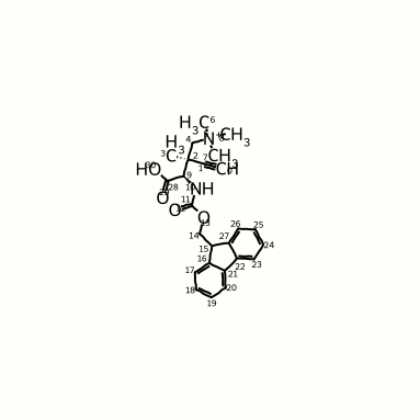 C#C[C@](C)(C[N+](C)(C)C)[C@@H](NC(=O)OCC1c2ccccc2-c2ccccc21)C(=O)O